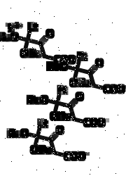 CCC(OCC(C)C)(OCC(C)C)C(=O)CC(=O)[O-].CCC(OCC(C)C)(OCC(C)C)C(=O)CC(=O)[O-].CCC(OCC(C)C)(OCC(C)C)C(=O)CC(=O)[O-].CCC(OCC(C)C)(OCC(C)C)C(=O)CC(=O)[O-].[Ti+4]